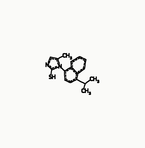 Cc1cnc(S)n1-c1ccc(C(C)C)c2ccccc12